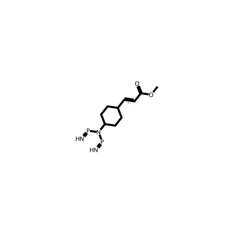 COC(=O)/C=C/C1CCC(N(P=N)P=N)CC1